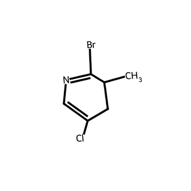 CC1CC(Cl)=CN=C1Br